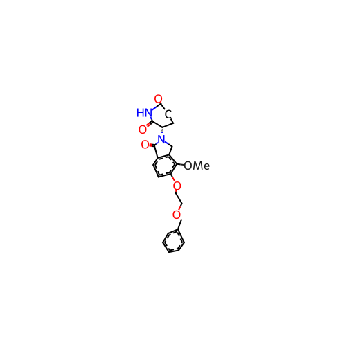 COc1c(OCCOCc2ccccc2)ccc2c1CN([C@H]1CCC(=O)NC1=O)C2=O